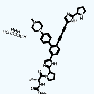 COC(=O)N[C@H](C(=O)N1CCCC1c1ncc(-c2ccc(C#CC#Cc3cnc(C4CCCN4)[nH]3)c(-c3ccc(N4CCN(C)CC4)cc3)c2)[nH]1)C(C)C.Cl.Cl.Cl.Cl.Cl